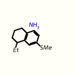 CCC1CCCc2ccc(SC)cc21.N